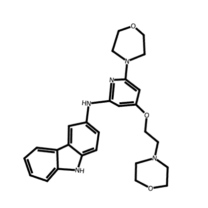 c1ccc2c(c1)[nH]c1ccc(Nc3cc(OCCN4CCOCC4)cc(N4CCOCC4)n3)cc12